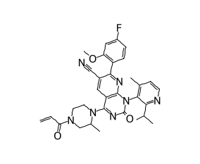 C=CC(=O)N1CCN(c2nc(=O)n(-c3c(C)ccnc3C(C)C)c3nc(-c4ccc(F)cc4OC)c(C#N)cc23)C(C)C1